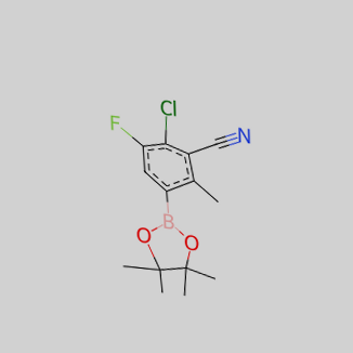 Cc1c(B2OC(C)(C)C(C)(C)O2)cc(F)c(Cl)c1C#N